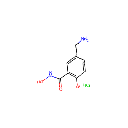 Cl.NCc1ccc(O)c(C(=O)NO)c1